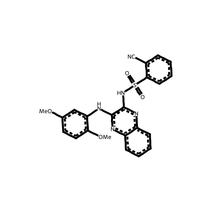 COc1ccc(OC)c(Nc2nc3ccccc3nc2NS(=O)(=O)c2ccccc2C#N)c1